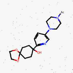 CC(=O)N1CCN(c2ccc(C3(O)CCC4(CC3)OCCO4)nc2)CC1